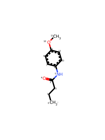 [CH2]CCC(=O)Nc1ccc(OC)cc1